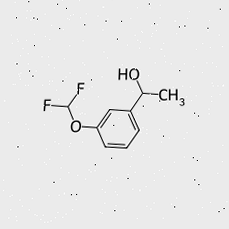 CC(O)c1cccc(OC(F)F)c1